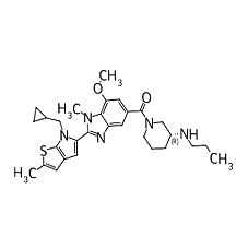 CCCN[C@@H]1CCCN(C(=O)c2cc(OC)c3c(c2)nc(-c2cc4cc(C)sc4n2CC2CC2)n3C)C1